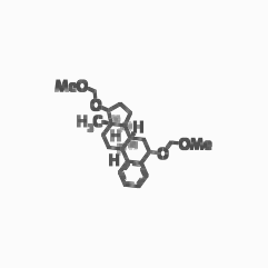 COCOC1C[C@@H]2[C@H](CC[C@]3(C)C(OCOC)CC[C@@H]23)c2ccccc21